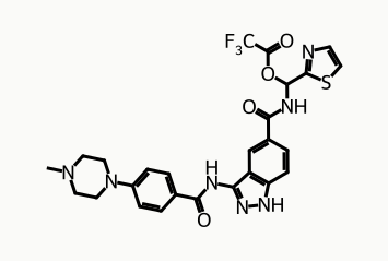 CN1CCN(c2ccc(C(=O)Nc3n[nH]c4ccc(C(=O)NC(OC(=O)C(F)(F)F)c5nccs5)cc34)cc2)CC1